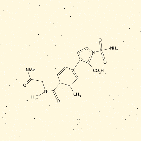 CNC(=O)CN(C)C(=O)C1C=CC(c2ccn(S(N)(=O)=O)c2C(=O)O)=CC1C